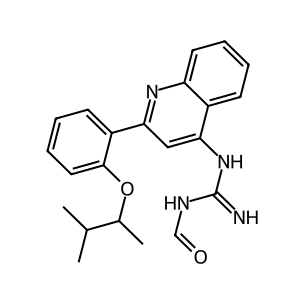 CC(C)C(C)Oc1ccccc1-c1cc(NC(=N)NC=O)c2ccccc2n1